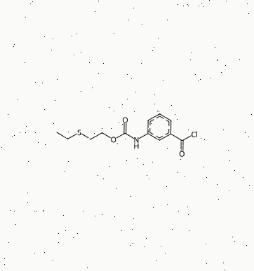 CCSCCOC(=O)Nc1cccc(C(=O)Cl)c1